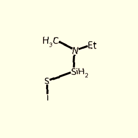 CCN(C)[SiH2]SI